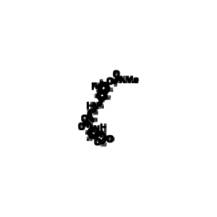 CNC(=O)COc1cc(F)c2c(c1)CC(CNCCC1CN(c3ccc4c(n3)NC(=O)CO4)C(=O)O1)C2